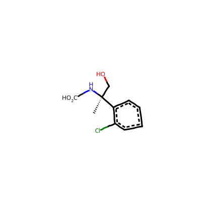 C[C@@](CO)(NC(=O)O)c1ccccc1Cl